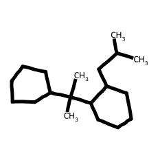 CC(C)CC1CCCCC1C(C)(C)C1CCCCC1